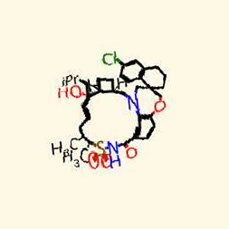 CC(C)C[C@@]1(O)/C=C/C[C@H](C)[C@@H](C)S(=O)(=O)NC(=O)c2ccc3c(c2)N(C[C@@H]2CC[C@H]21)C[C@@]1(CCCc2cc(Cl)ccc21)CO3